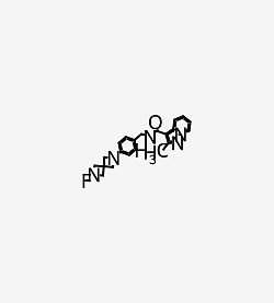 Cc1nn2ccccc2c1C(=O)NCc1ccc(N2CC3(CN(F)C3)C2)cc1